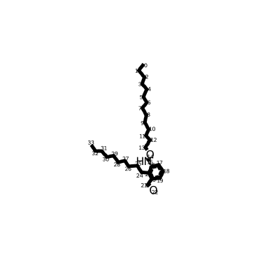 CCCCCCCCCCCCCCONc1cccc(C=O)c1CCCCCCCCCC